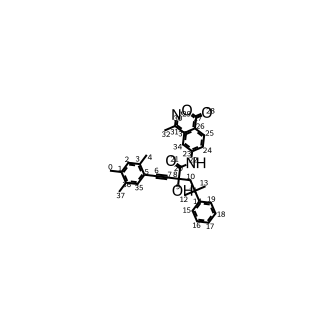 Cc1cc(C)c(C#CC(O)(CC(C)(C)c2ccccc2)C(=O)Nc2ccc3c(=O)onc(C)c3c2)cc1C